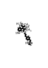 COC(=O)C1=C(C)NC(C)=C(C(=O)OCC=Cc2ccc(Cc3ncc[nH]3)cc2)C1c1cccc(O)c1